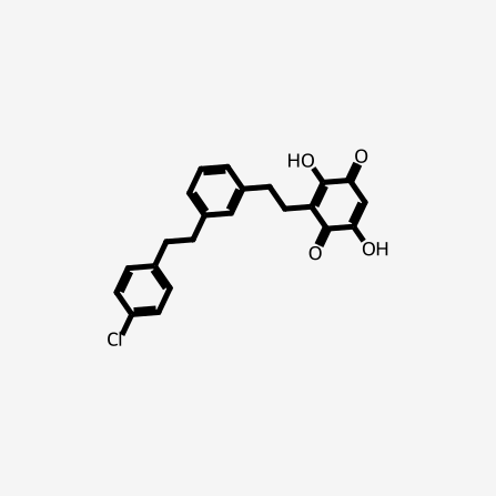 O=C1C=C(O)C(=O)C(CCc2cccc(CCc3ccc(Cl)cc3)c2)=C1O